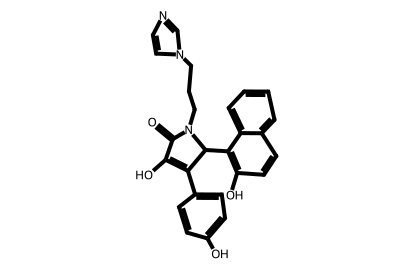 O=C1C(O)=C(c2ccc(O)cc2)C(c2c(O)ccc3ccccc23)N1CCCn1ccnc1